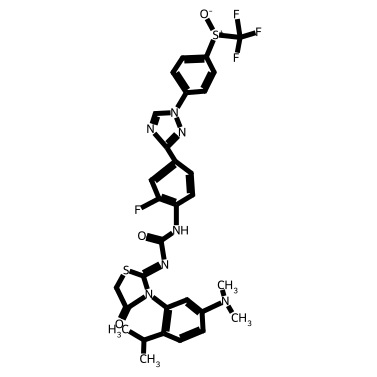 CC(C)c1ccc(N(C)C)cc1N1C(=O)CS/C1=N\C(=O)Nc1ccc(-c2ncn(-c3ccc([S+]([O-])C(F)(F)F)cc3)n2)cc1F